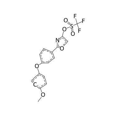 COc1ccc(Oc2ccc(-c3nc(OS(=O)(=O)C(F)(F)F)co3)cc2)cc1